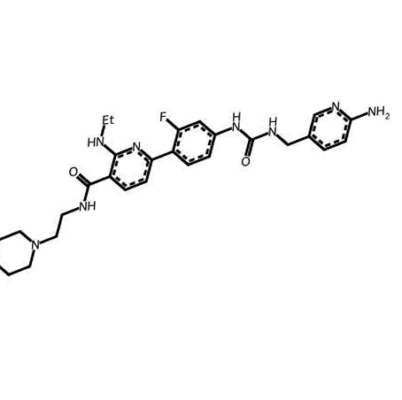 CCNc1nc(-c2ccc(NC(=O)NCc3ccc(N)nc3)cc2F)ccc1C(=O)NCCN1CCCCC1